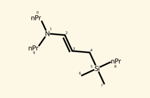 CCCN(C=CC[Si](C)(C)CCC)CCC